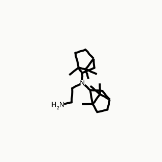 CC1(C)C2CCC1(C)C(N(CCN)C1CC3CCC1(C)C3(C)C)C2